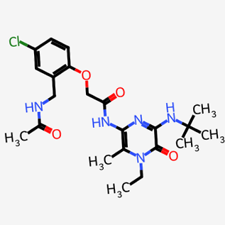 CCn1c(C)c(NC(=O)COc2ccc(Cl)cc2CNC(C)=O)nc(NC(C)(C)C)c1=O